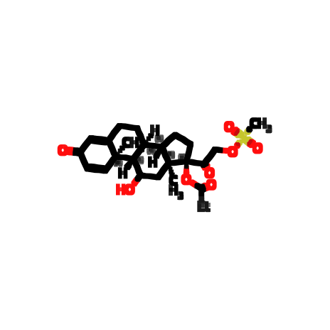 CCC(=O)O[C@]1(C(=O)COS(C)(=O)=O)CC[C@H]2[C@@H]3CCC4=CC(=O)C=C[C@]4(C)[C@H]3C(O)C[C@@]21C